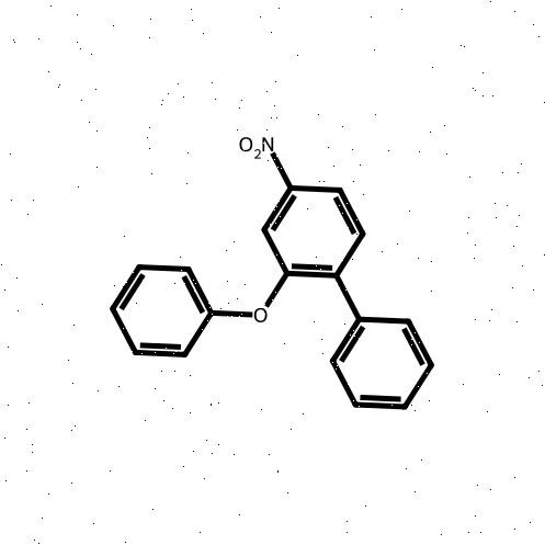 O=[N+]([O-])c1ccc(-c2ccccc2)c(Oc2ccccc2)c1